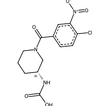 O=C(O)N[C@@H]1CCCN(C(=O)c2ccc(Cl)c([N+](=O)[O-])c2)C1